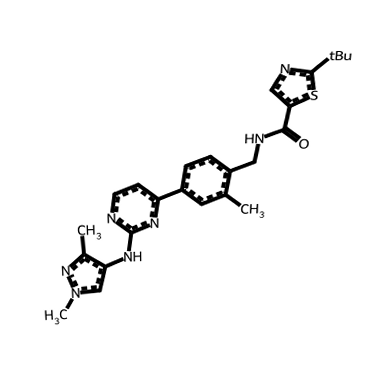 Cc1cc(-c2ccnc(Nc3cn(C)nc3C)n2)ccc1CNC(=O)c1cnc(C(C)(C)C)s1